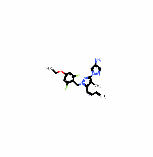 C=C/C=C\c1c(C)c(-n2cc(N)cn2)nn1Cc1c(F)cc(OCC)cc1F